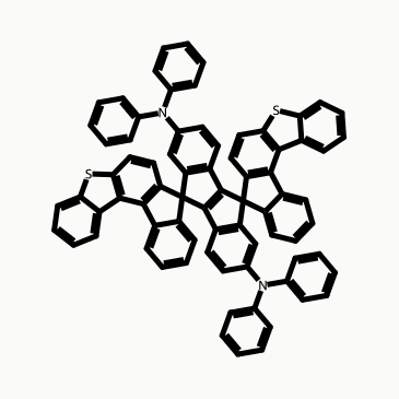 c1ccc(N(c2ccccc2)c2ccc3c(c2)C2(C4=C3C3(c5cc(N(c6ccccc6)c6ccccc6)ccc54)c4ccccc4-c4c3ccc3sc5ccccc5c43)c3ccccc3-c3c2ccc2sc4ccccc4c32)cc1